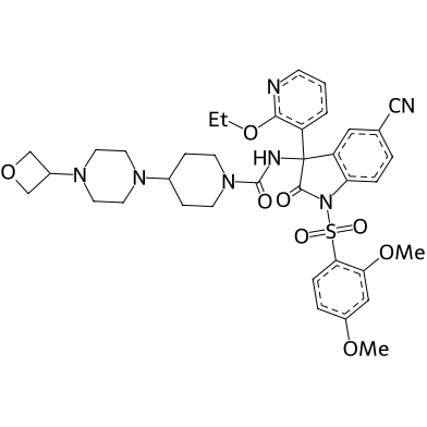 CCOc1ncccc1C1(NC(=O)N2CCC(N3CCN(C4COC4)CC3)CC2)C(=O)N(S(=O)(=O)c2ccc(OC)cc2OC)c2ccc(C#N)cc21